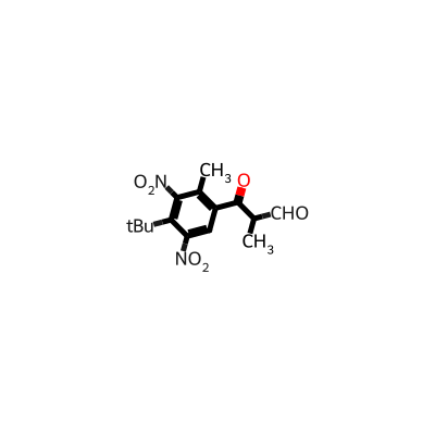 Cc1c(C(=O)C(C)C=O)cc([N+](=O)[O-])c(C(C)(C)C)c1[N+](=O)[O-]